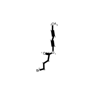 CC#CC#COC(=O)CCCBr